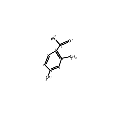 Cc1cc(O)ccc1C(=O)C(C)C